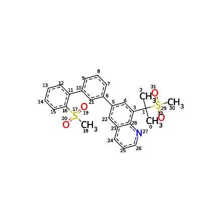 CC(C)(c1cc(-c2cccc(-c3ccccc3S(C)(=O)=O)c2)cc2cccnc12)S(C)(=O)=O